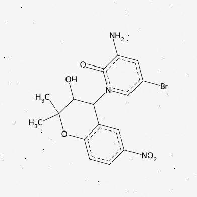 CC1(C)Oc2ccc([N+](=O)[O-])cc2C(n2cc(Br)cc(N)c2=O)C1O